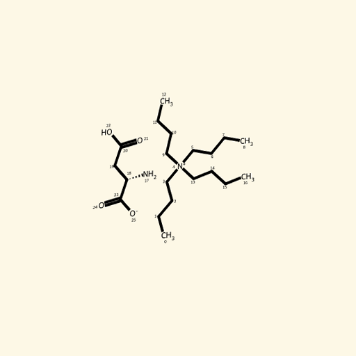 CCCC[N+](CCCC)(CCCC)CCCC.N[C@@H](CC(=O)O)C(=O)[O-]